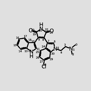 CN(C)CCn1cc(C2=C(c3c[nH]c4ccccc34)C(=O)NC2=O)c2ccc(Cl)cc21